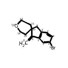 C=C1c2cc(Br)ccc2CC12CCOCC2